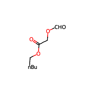 CCCCCOC(=O)COC=O